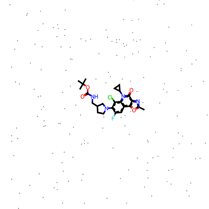 Cc1nc2c(=O)n(C3CC3)c3c(Cl)c(N4CCC(CNC(=O)OC(C)(C)C)C4)c(F)cc3c2o1